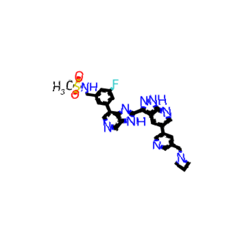 CS(=O)(=O)NCc1cc(F)cc(-c2cncc3[nH]c(-c4n[nH]c5ncc(-c6cncc(CN7CCC7)c6)cc45)nc23)c1